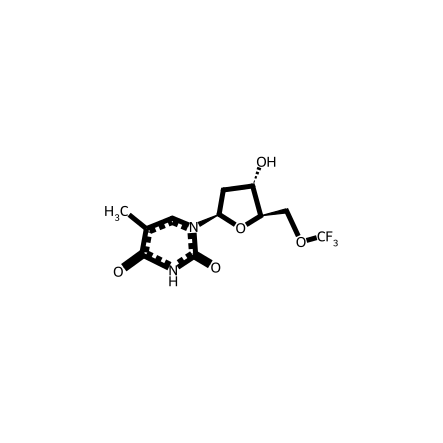 Cc1cn([C@H]2C[C@H](O)[C@@H](COC(F)(F)F)O2)c(=O)[nH]c1=O